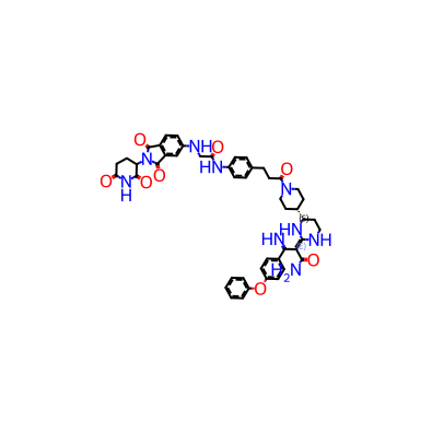 N=C(/C(C(N)=O)=C1/NCC[C@@H](C2CCN(C(=O)CCc3ccc(NC(=O)CNc4ccc5c(c4)C(=O)N(C4CCC(=O)NC4=O)C5=O)cc3)CC2)N1)c1ccc(Oc2ccccc2)cc1